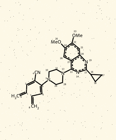 C=C/C=C(C#N)\C(=C/C=C)N1CCN(c2nc(C3CC3)nc3cc(OC)c(OC)cc23)CC1